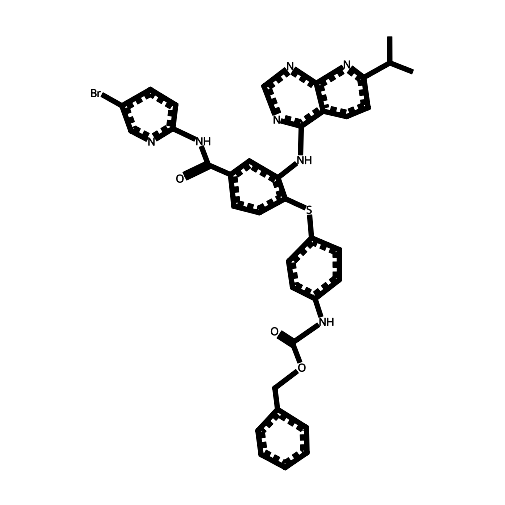 CC(C)c1ccc2c(Nc3cc(C(=O)Nc4ccc(Br)cn4)ccc3Sc3ccc(NC(=O)OCc4ccccc4)cc3)ncnc2n1